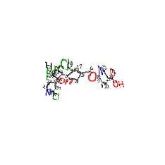 CC(c1ccc(COc2ccc(C(=O)O)cn2)cc1Cl)C(O)(c1ccnc(Cl)c1)C(F)(F)F